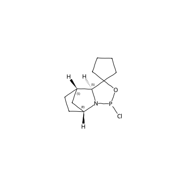 ClP1OC2(CCCC2)[C@@H]2[C@H]3CC[C@H](C3)N21